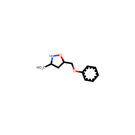 O=C(O)C1CC(COc2ccccc2)ON1